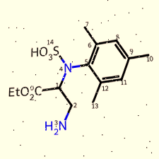 CCOC(=O)C(CN)N(c1c(C)cc(C)cc1C)S(=O)(=O)O